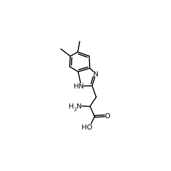 Cc1cc2nc(CC(N)C(=O)O)[nH]c2cc1C